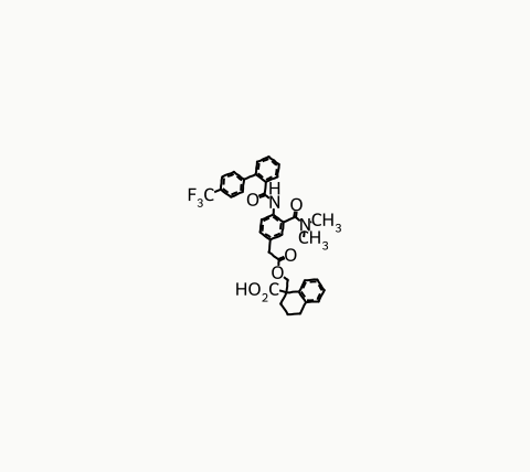 CN(C)C(=O)c1cc(CC(=O)OCC2(C(=O)O)CCCc3ccccc32)ccc1NC(=O)c1ccccc1-c1ccc(C(F)(F)F)cc1